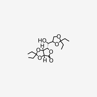 CCC1(CC)OCC(C(O)[C@@H]2OC(=O)[C@@H]3OC(CC)(CC)O[C@@H]32)O1